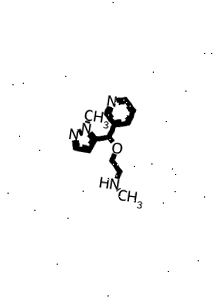 CNCCOC(c1cccnc1)c1ccnn1C